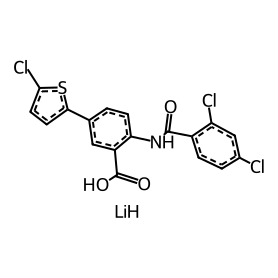 O=C(Nc1ccc(-c2ccc(Cl)s2)cc1C(=O)O)c1ccc(Cl)cc1Cl.[LiH]